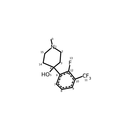 CN1CCC(O)(c2cccc(C(F)(F)F)c2F)CC1